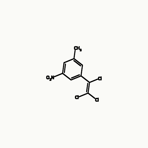 Cc1cc(C(Cl)=C(Cl)Cl)cc([N+](=O)[O-])c1